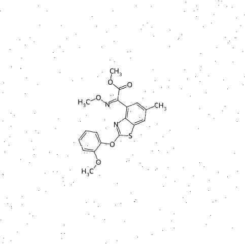 CON=C(C(=O)OC)c1cc(C)cc2sc(Oc3ccccc3OC)nc12